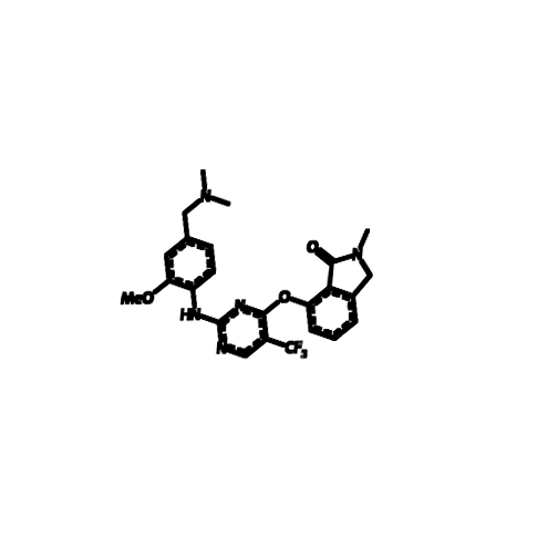 COc1cc(CN(C)C)ccc1Nc1ncc(C(F)(F)F)c(Oc2cccc3c2C(=O)N(C)C3)n1